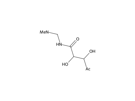 CNCNC(=O)C(O)C(O)C(C)=O